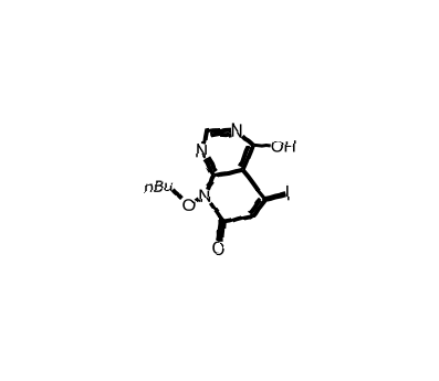 CCCCOn1c(=O)cc(I)c2c(O)ncnc21